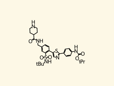 CC(C)OC(=O)Nc1ccc(-c2ncc(-c3ccc(CNC(=O)C4CCNCC4)cc3S(=O)(=O)NC(C)(C)C)s2)cc1